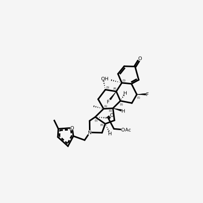 CC(=O)OCC(=O)[C@@]12CN(Cc3ccc(C)o3)C[C@@H]1C[C@H]1[C@@H]3C[C@H](F)C4=CC(=O)C=C[C@]4(C)[C@@]3(F)[C@@H](O)C[C@@]12C